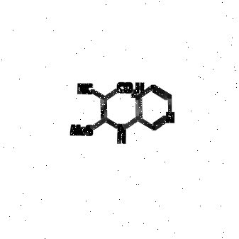 CSC(Nc1cccnc1)=C(C#N)C(=O)O